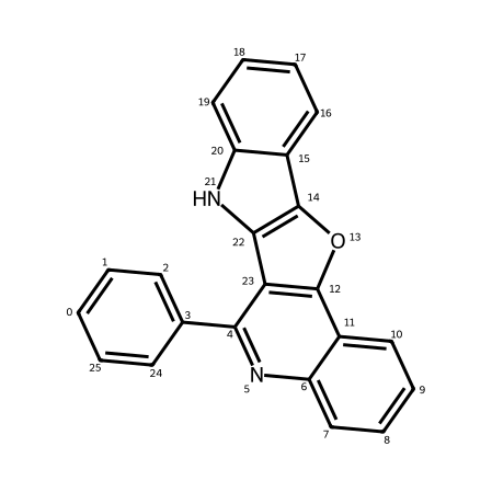 c1ccc(-c2nc3ccccc3c3oc4c5ccccc5[nH]c4c23)cc1